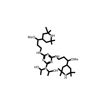 COC(CCNc1nc(NCCC(OC)C2CC(C)(C)NC(C)(C)C2)nc(N(C(C)O)C(C)O)n1)C1CC(C)(C)NC(C)(C)C1